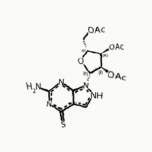 CC(=O)OC[C@H]1O[C@@H](n2[nH]cc3c(=S)nc(N)nc2-3)[C@H](OC(C)=O)[C@@H]1OC(C)=O